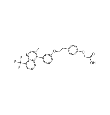 Cc1cnc2c(C(F)(F)F)cccc2c1-c1cccc(OCCc2ccc(OCC(=O)O)cc2)c1